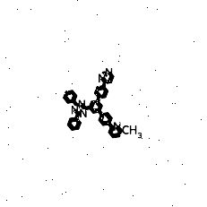 Cc1cccc(-c2ccc(-c3cc(-c4ccc(-c5ccncn5)cc4)cc(-c4nc(-c5ccccc5)nc(-c5ccccc5)n4)c3)cc2)n1